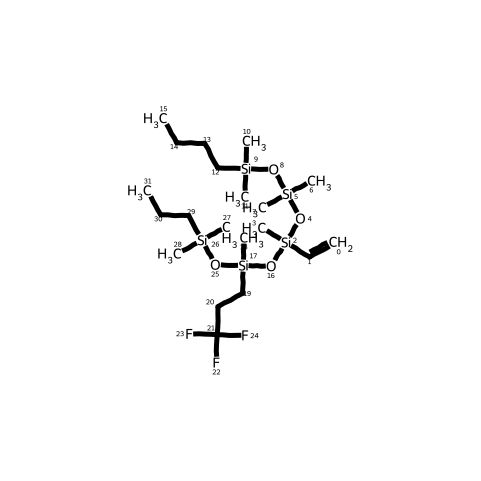 C=C[Si](C)(O[Si](C)(C)O[Si](C)(C)CCCC)O[Si](C)(CCC(F)(F)F)O[Si](C)(C)CCC